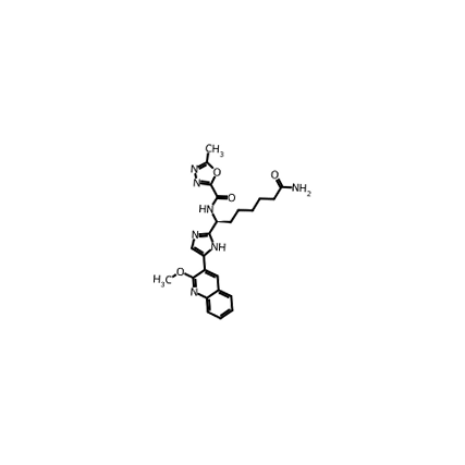 COc1nc2ccccc2cc1-c1cnc([C@H](CCCCCC(N)=O)NC(=O)c2nnc(C)o2)[nH]1